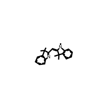 CN1/C(=C/C2=Nc3ccccc3C2(C)C)C(C)(C)c2ccccc21